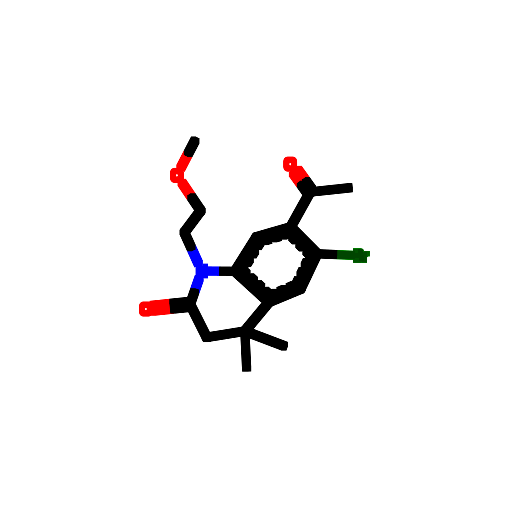 COCCN1C(=O)CC(C)(C)c2cc(Br)c(C(C)=O)cc21